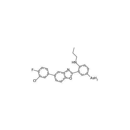 CCCNc1ccc([AsH2])cc1-c1nc2cc(-c3ccc(F)c(Cl)c3)ccc2o1